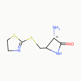 N[C@@H]1C(=O)NC1CSC1=NCCS1